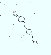 CCCc1ccc(CCc2cc[c]([Mg][Br])cc2)cc1